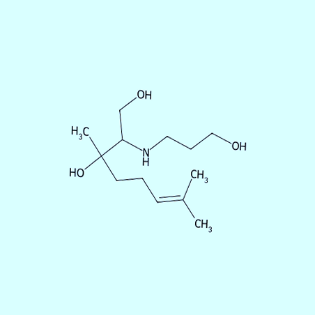 CC(C)=CCCC(C)(O)C(CO)NCCCO